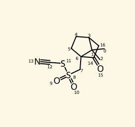 CC1(C)C2CCC1(CS(=O)(=O)SC#N)C(=O)C2